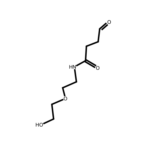 O=CCCC(=O)NCCOCCO